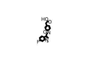 Cn1cc(-c2nc3ccc(CC(=O)O)cc3o2)c2ccc(F)cc21